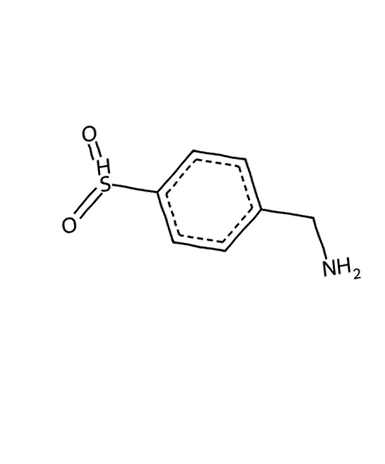 NCc1ccc([SH](=O)=O)cc1